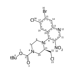 CC(C)(C)OC(=O)N1CCN(c2c([N+](=O)[O-])cnc3cc(Br)c(Cl)cc23)[C@@H](CCl)C1